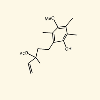 C=CC(C)(CCc1c(C)c(OC)c(C)c(C)c1O)OC(C)=O